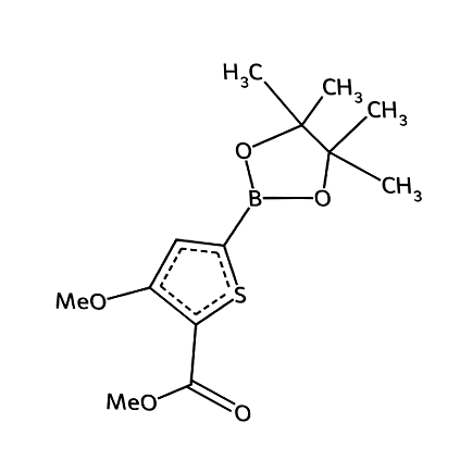 COC(=O)c1sc(B2OC(C)(C)C(C)(C)O2)cc1OC